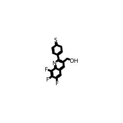 OCc1cc2cc(F)c(F)c(F)c2nc1C1=CCC(=S)C=C1